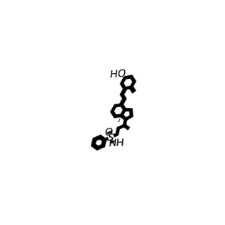 C=C1CC[C@H](O)C/C1=C/C=C1\CCC[C@@]2(C)C1CCC2C(C)CCS(=N)(=O)c1ccccc1